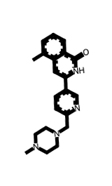 Cc1cccc2c(=O)[nH]c(-c3ccc(CN4CCN(C)CC4)nc3)cc12